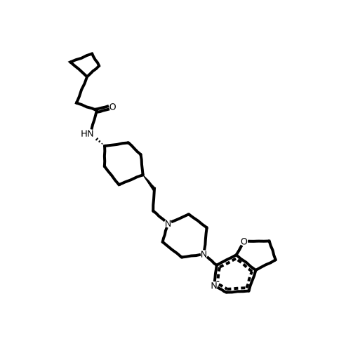 O=C(CC1CCC1)N[C@H]1CC[C@H](CCN2CCN(c3nccc4c3OCC4)CC2)CC1